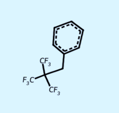 FC(F)(F)C(Cc1ccccc1)(C(F)(F)F)C(F)(F)F